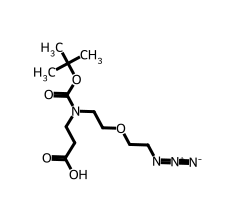 CC(C)(C)OC(=O)N(CCOCCN=[N+]=[N-])CCC(=O)O